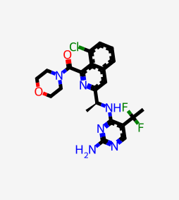 C[C@H](Nc1nc(N)ncc1C(C)(F)F)c1cc2cccc(Cl)c2c(C(=O)N2CCOCC2)n1